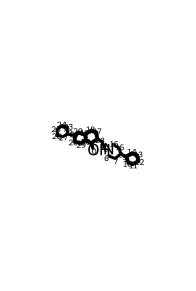 Oc1c(CCN2CCC(c3ccccc3)CC2)ccc2cc(C3C=CCCC3)ccc12